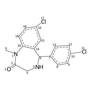 CN1C(=O)CNC(c2ccc(Cl)cc2)c2cc(Cl)ccc21